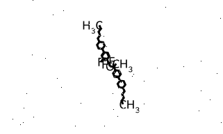 CCCCCC1CCC(c2ccc(C(C)OC(F)(F)c3ccc(C4CCC(CCCCC)CC4)cc3F)cc2)CC1